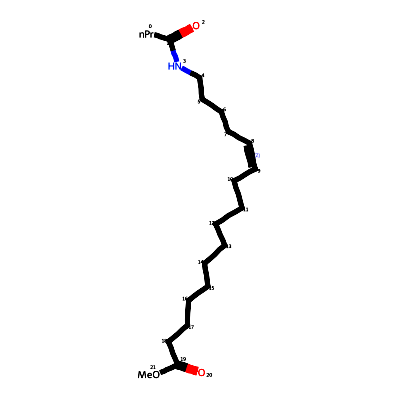 CCCC(=O)NCCCC/C=C\CCCCCCCCCC(=O)OC